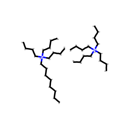 CCCCCCCC[N+](CCCC)(CCCC)CCCC.CCCC[N+](CCCC)(CCCC)CCCC